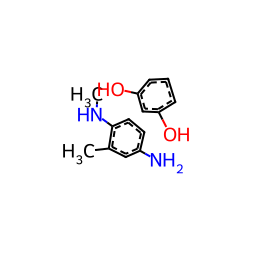 CNc1ccc(N)cc1C.Oc1cccc(O)c1